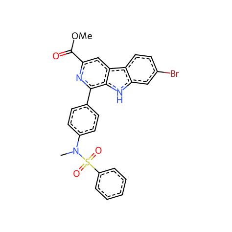 COC(=O)c1cc2c([nH]c3cc(Br)ccc32)c(-c2ccc(N(C)S(=O)(=O)c3ccccc3)cc2)n1